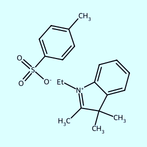 CC[N+]1=C(C)C(C)(C)c2ccccc21.Cc1ccc(S(=O)(=O)[O-])cc1